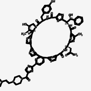 Cc1sc2nc1C(=O)N[C@@H]([C@H](O)c1ccccc1)c1nc(cs1)C(=O)NC(Cc1ccc(O)cc1)C(=O)N1C[C@H](O)[C@H](C)[C@H]1c1nc(cs1)-c1nc(cs1)-c1nc(-c3nc(C(=O)N4CCN(CCN5CCCCC5)CC4)cs3)ccc1-c1nc(cs1)C(=O)N[C@H]2CC(N)=O